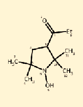 CCC(=O)C1CC(C)(C)N(O)C1(C)C